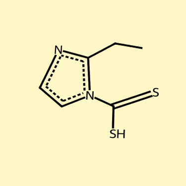 CCc1nccn1C(=S)S